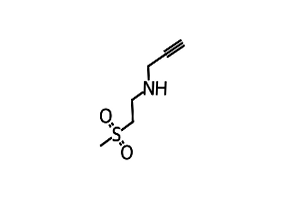 C#CCNCCS(C)(=O)=O